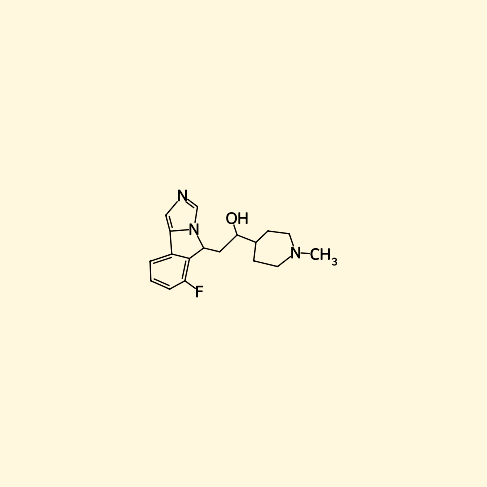 CN1CCC(C(O)CC2c3c(F)cccc3-c3cncn32)CC1